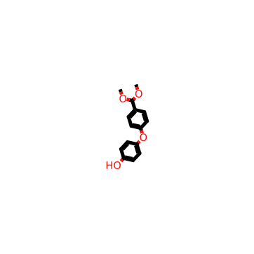 COC(OC)c1ccc(Oc2ccc(O)cc2)cc1